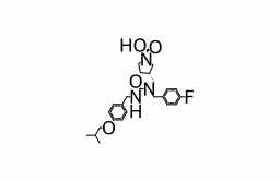 CC(C)COc1ccc(CNC(=O)N(Cc2ccc(F)cc2)C[C@@H]2CCN(C(=O)O)C2)cc1